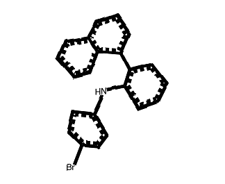 Brc1ccc(Nc2ccccc2-c2cccc3ccccc23)cc1